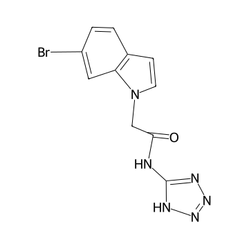 O=C(Cn1ccc2ccc(Br)cc21)Nc1nnn[nH]1